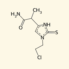 CC(C(N)=O)c1cn(CCCl)c(=S)[nH]1